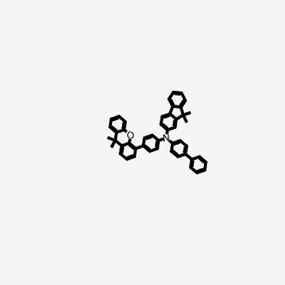 CC1(C)c2ccccc2-c2ccc(N(c3ccc(-c4ccccc4)cc3)c3ccc(-c4cccc5c4Oc4ccccc4C5(C)C)cc3)cc21